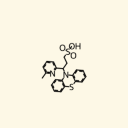 Cc1cccc(C(CCS(=O)(=O)O)N2c3ccccc3Sc3ccccc32)n1